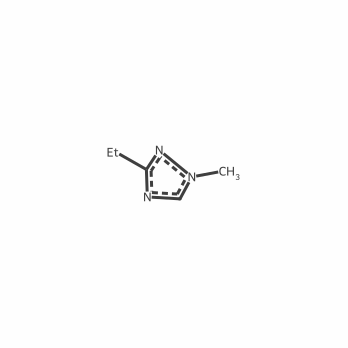 [CH2]Cc1ncn(C)n1